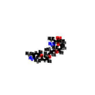 CCCCC(CC)(COC(C)(CC)CC(C)OC(C)(CC)CC(C)N)COC(C)(CC)CC(C)OC(C)(O)C(C)N